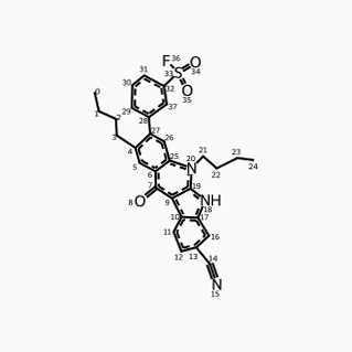 CCCCc1cc2c(=O)c3c4ccc(C#N)cc4[nH]c3n(CCCC)c2cc1-c1cccc(S(=O)(=O)F)c1